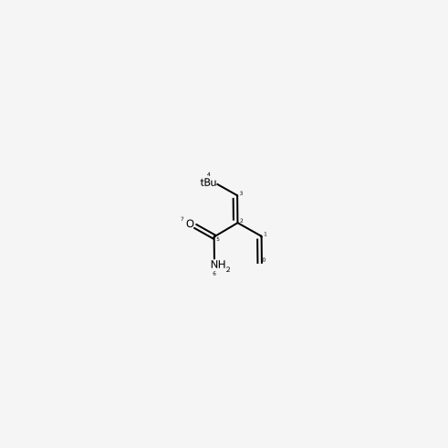 C=CC(=CC(C)(C)C)C(N)=O